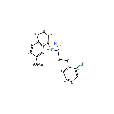 COc1ccc2c(c1)[C@](N)(NCCCc1ccccc1Cl)CCC2